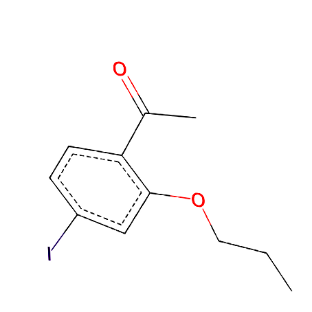 CCCOc1cc(I)ccc1C(C)=O